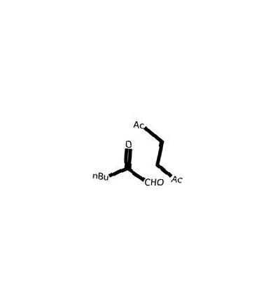 CC(=O)CCC(C)=O.CCCCC(=O)C=O